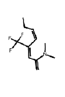 C=C(/C=C(\C=C/CC)C(F)(F)F)N(C)C